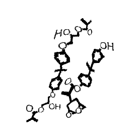 C=C(C(=O)Oc1ccc(C(C)(C)c2ccc(O)cc2)cc1)C(CC1CO1)CC1CO1.C=C(C)C(=O)OCC(O)COc1ccc(C(C)(C)c2ccc(OCC(O)COC(=O)C(=C)C)cc2)cc1